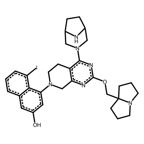 Oc1cc(N2CCc3c(nc(OCC45CCCN4CCC5)nc3N3CC4CCC(C3)N4)C2)c2c(I)cccc2c1